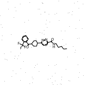 CCCCCNC(=O)c1ccc(C2CCC(C(=O)c3ccccc3C(F)(F)F)CC2)nn1